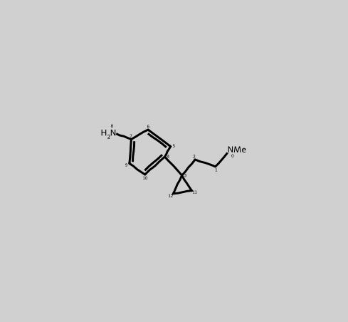 CNCCC1(c2ccc(N)cc2)CC1